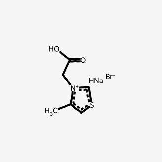 Cc1csc[n+]1CC(=O)O.[Br-].[NaH]